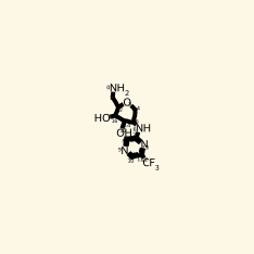 NCC1OCC(Nc2cncc(C(F)(F)F)n2)C(O)C1O